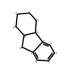 [CH]1CCC2c3ccccc3CC2C1